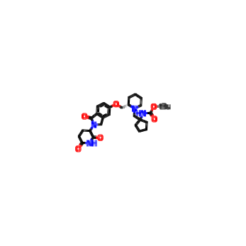 CC(C)(C)OC(=O)NC1(CN2CCCC[C@H]2COc2ccc3c(c2)CN(C2CCC(=O)NC2=O)C3=O)CCCC1